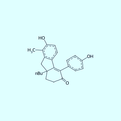 CCCCC12CCC(=O)C(c3ccc(O)cc3)=C1c1ccc(O)c(C)c1C2